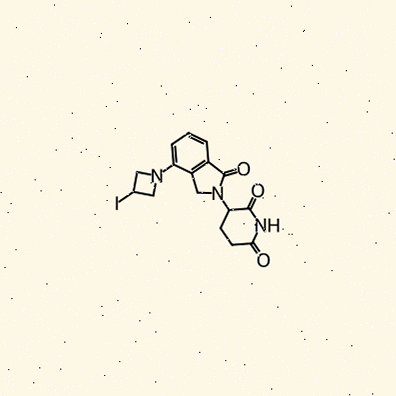 O=C1CCC(N2Cc3c(cccc3N3CC(I)C3)C2=O)C(=O)N1